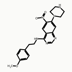 COc1ccc(CCNc2ncnc3cc(N4CCNCC4)c([N+](=O)[O-])cc23)cc1